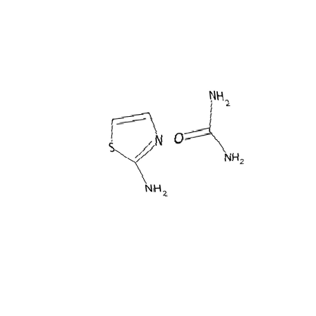 NC(N)=O.Nc1nccs1